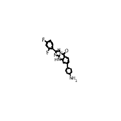 Nc1ccc(-c2ccc3c(=O)n4nc(-c5ccc(F)cc5F)nc4[nH]c3c2)cc1